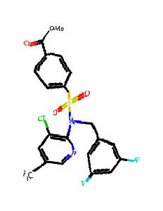 COC(=O)c1ccc(S(=O)(=O)N(Cc2cc(F)cc(F)c2)c2ncc(C(F)(F)F)cc2Cl)cc1